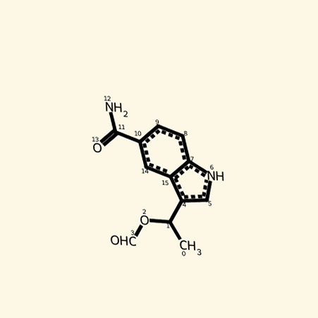 CC(OC=O)c1c[nH]c2ccc(C(N)=O)cc12